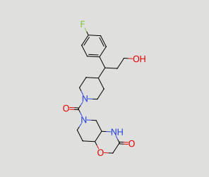 O=C1COC2CCN(C(=O)N3CCC(C(CCO)c4ccc(F)cc4)CC3)CC2N1